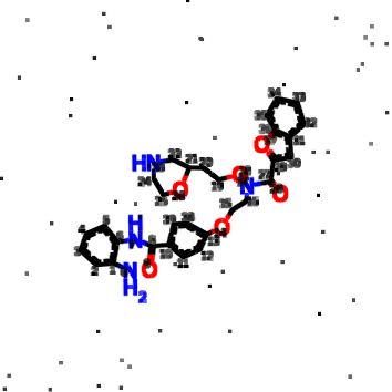 Nc1ccccc1NC(=O)c1ccc(OCCN(OCCC2CNCCO2)C(=O)c2cc3ccccc3o2)cc1